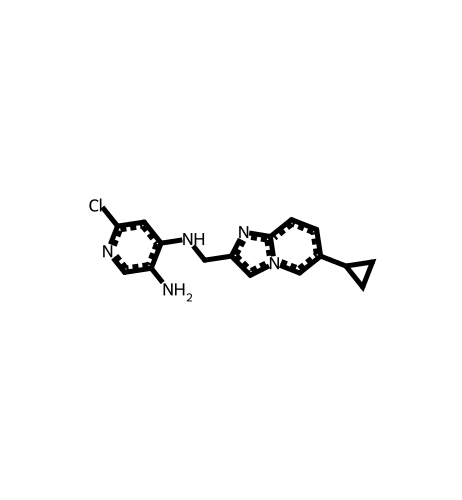 Nc1cnc(Cl)cc1NCc1cn2cc(C3CC3)ccc2n1